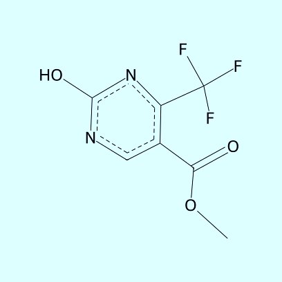 COC(=O)c1cnc(O)nc1C(F)(F)F